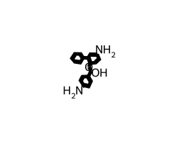 Nc1ccc(C(O)Oc2ccc(N)cc2-c2ccccc2)cc1